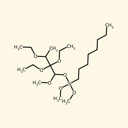 CCCCCCCC[Si](OC)(OC)OC(OC)C(OCC)(OCC)C(C)OCC